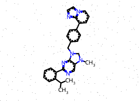 CC(C)c1ccccc1-c1ncc2c(n1)N(Cc1ccc(-c3cccn4ccnc34)cc1)CN2C